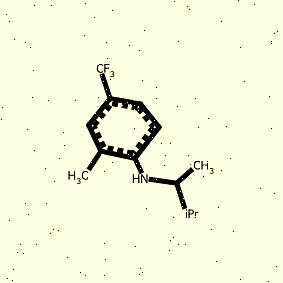 Cc1cc(C(F)(F)F)ccc1NC(C)C(C)C